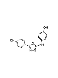 Oc1ccc(Nc2nnc(-c3ccc(Cl)cc3)o2)cc1